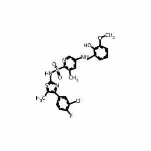 COc1cccc(CNc2cnc(S(=O)(=O)Nc3nc(-c4ccc(F)c(Cl)c4)c(C)s3)c(C)c2)c1O